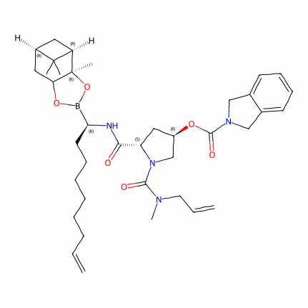 C=CCCCCCC[C@H](NC(=O)[C@@H]1C[C@@H](OC(=O)N2Cc3ccccc3C2)CN1C(=O)N(C)CC=C)B1OC2C[C@H]3C[C@H](C3(C)C)[C@@]2(C)O1